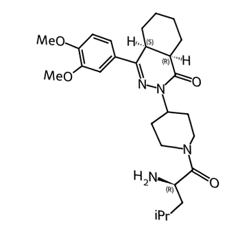 COc1ccc(C2=NN(C3CCN(C(=O)[C@H](N)CC(C)C)CC3)C(=O)[C@@H]3CCCC[C@H]23)cc1OC